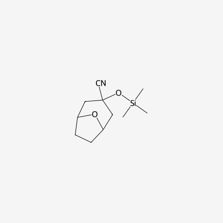 C[Si](C)(C)OC1(C#N)CC2CCC(C1)O2